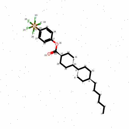 CCCCCC[C@H]1CC[C@H]([C@H]2CC[C@H](C(=O)Oc3ccc(S(F)(F)(F)(F)F)cc3)CC2)CC1